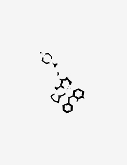 CN1CCN(C(=O)OCOc2c3n(ncc2=O)[C@@H](C(c2ccccc2)c2cccc(F)c2F)[C@H]2CCCN2C3=O)CC1